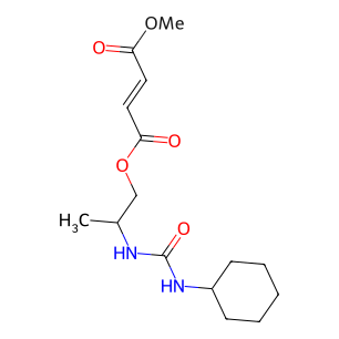 COC(=O)/C=C/C(=O)OCC(C)NC(=O)NC1CCCCC1